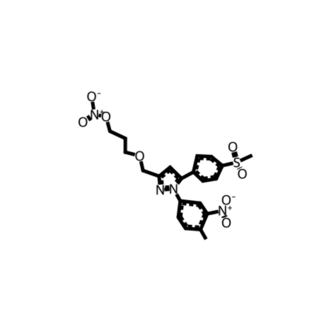 Cc1ccc(-n2nc(COCCCO[N+](=O)[O-])cc2-c2ccc(S(C)(=O)=O)cc2)cc1[N+](=O)[O-]